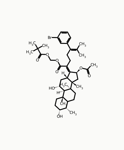 CC(=O)O[C@H]1C[C@@]2(C)[C@H](C[C@@H](O)[C@@H]3[C@@]4(C)CC[C@@H](O)[C@@H](C)C4CC[C@@]32C)C1=C(CCC(=C(C)C)c1cccc(Br)c1)C(=O)OCOC(=O)C(C)(C)C